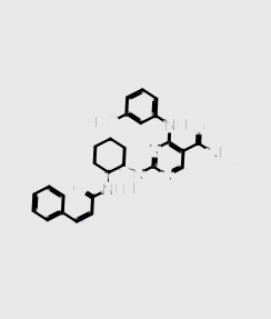 Cc1cccc(Nc2nc(N[C@@H]3CCCC[C@@H]3NC(=O)/C=C\c3[c]cccc3)ncc2C(N)=O)c1